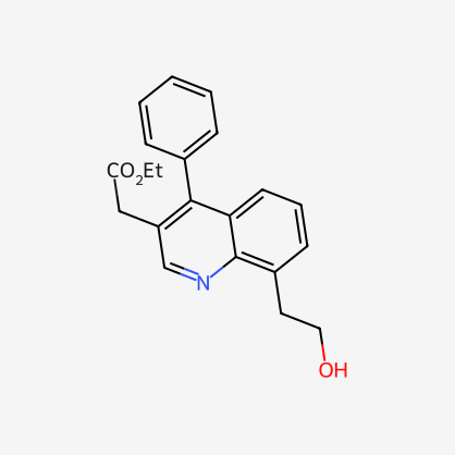 CCOC(=O)Cc1cnc2c(CCO)cccc2c1-c1ccccc1